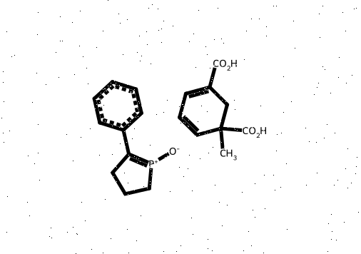 CC1(C(=O)O)C=CC=C(C(=O)O)C1.[O-][P+]1=C(c2ccccc2)CCC1